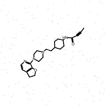 CC#CC(=O)NC1CCC(CCN2CCN(c3nccc4c3OCC4)CC2)CC1